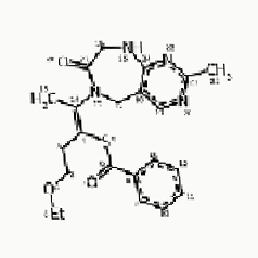 CCOCC/C(SC(=O)c1ccccc1)=C(\C)N1Cc2cnc(C)nc2NCC1=O